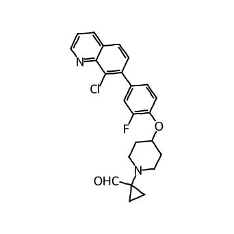 O=CC1(N2CCC(Oc3ccc(-c4ccc5cccnc5c4Cl)cc3F)CC2)CC1